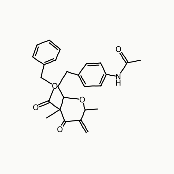 C=C1C(=O)C(C)(C(=O)OCc2ccccc2)C(CCc2ccc(NC(C)=O)cc2)OC1C